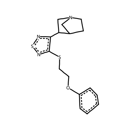 c1ccc(OCCSc2nsnc2C2CN3CCC2C3)cc1